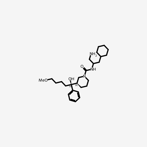 COCCCC[C@@](O)(c1ccccc1)[C@@H]1CCCN(C(=O)NC(CN)CC2CCCCC2)C1